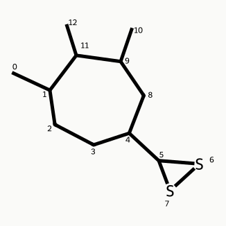 CC1CCC(C2SS2)CC(C)C1C